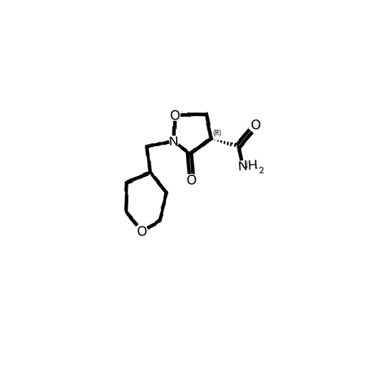 NC(=O)[C@H]1CON(CC2CCOCC2)C1=O